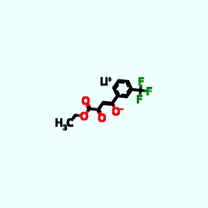 CCOC(=O)C(=O)C=C([O-])c1cccc(C(F)(F)F)c1.[Li+]